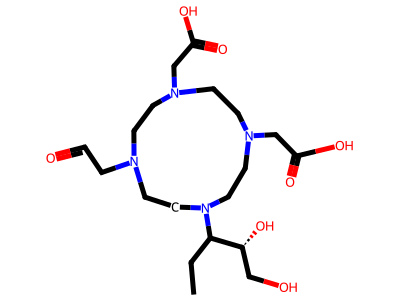 CCC([C@H](O)CO)N1CCN(CC=O)CCN(CC(=O)O)CCN(CC(=O)O)CC1